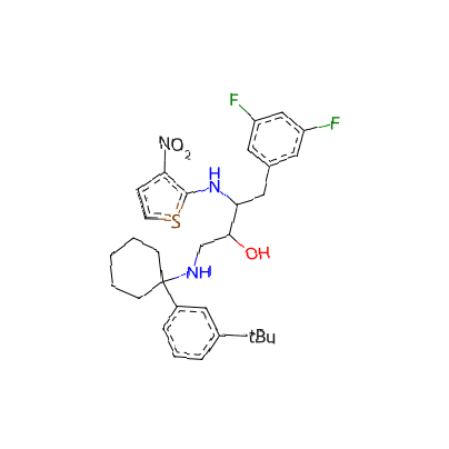 CC(C)(C)c1cccc(C2(NCC(O)C(Cc3cc(F)cc(F)c3)Nc3sccc3[N+](=O)[O-])CCCCC2)c1